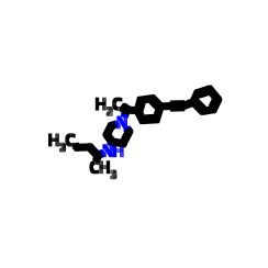 C=C(c1ccc(C#Cc2ccccc2)cc1)N1CCC(NC(C)CCC)CC1